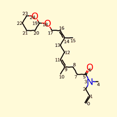 C=CCN(C)C(=O)CCC(C)=CCCC(C)=CCOC1CCCCO1